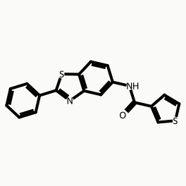 O=C(Nc1ccc2sc(-c3ccccc3)nc2c1)c1ccsc1